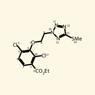 CCOC(=O)c1ccc(Cl)c(OCCn2nnc(SC)n2)c1Cl